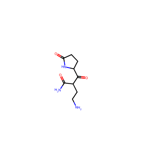 NCCC(C(N)=O)C(=O)C1CCC(=O)N1